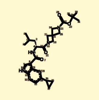 CC(C)C[C@@H](NC(=O)c1c[nH]c2ncc(C3CC3)nc12)C(=O)N1CC2(CN(C(=O)OC(C)(C)C)C2)C1